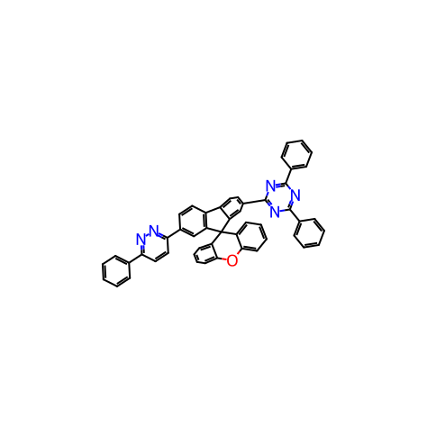 c1ccc(-c2ccc(-c3ccc4c(c3)C3(c5ccccc5Oc5ccccc53)c3cc(-c5nc(-c6ccccc6)nc(-c6ccccc6)n5)ccc3-4)nn2)cc1